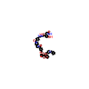 O=C(c1ccc(CCNC[C@H](O)c2ccc(O)c3[nH]c(=O)ccc23)cc1)N1CCC2(CCCN(C(=O)c3ccc(COc4cccc(C(O)(C(=O)OCC5CCN(Cc6ccccc6)CC5)c5ccccc5)c4)cc3)C2)CC1